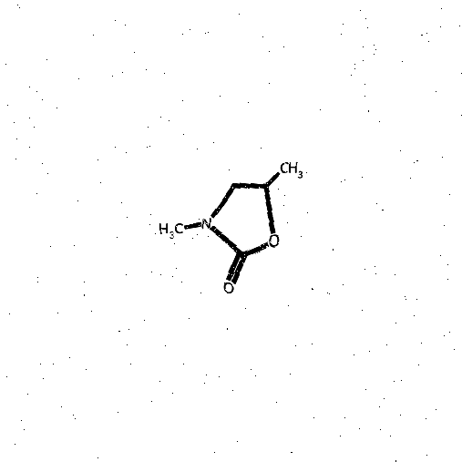 C[C]1CN(C)C(=O)O1